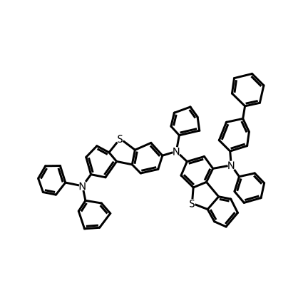 c1ccc(-c2ccc(N(c3ccccc3)c3cc(N(c4ccccc4)c4ccc5c(c4)sc4ccc(N(c6ccccc6)c6ccccc6)cc45)cc4sc5ccccc5c34)cc2)cc1